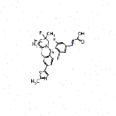 Cc1ncc(-c2ccc3c(c2)C[C@@H](C)N(CC(C)(C)F)[C@@H]3c2c(F)cc(/C=C/C(=O)O)cc2F)s1